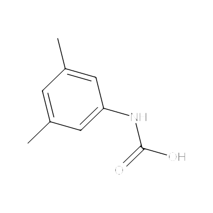 Cc1cc(C)cc(NC(=O)O)c1